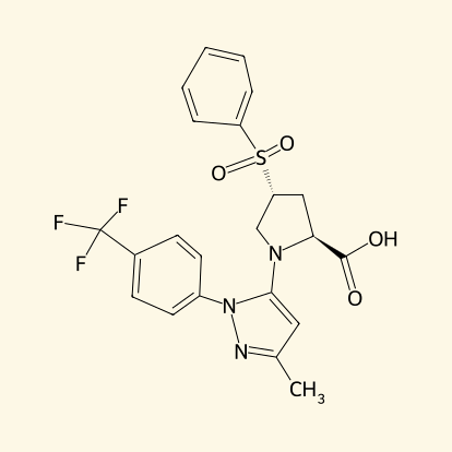 Cc1cc(N2C[C@H](S(=O)(=O)c3ccccc3)C[C@H]2C(=O)O)n(-c2ccc(C(F)(F)F)cc2)n1